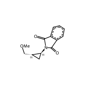 COC[C@H]1C[C@@H]1N1C(=O)c2ccccc2C1=O